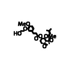 COc1ccc(/C=C/C(=O)O[C@@H]2CC[C@]3(CO3)[C@@H]([C@@]3(C)O[C@@H]3CC=C(C)C)[C@@H]2OC)cc1OCCO